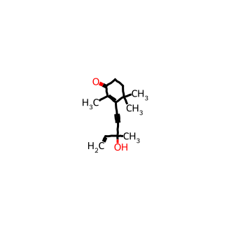 C=CC(C)(O)C#CC1=C(C)C(=O)CCC1(C)C